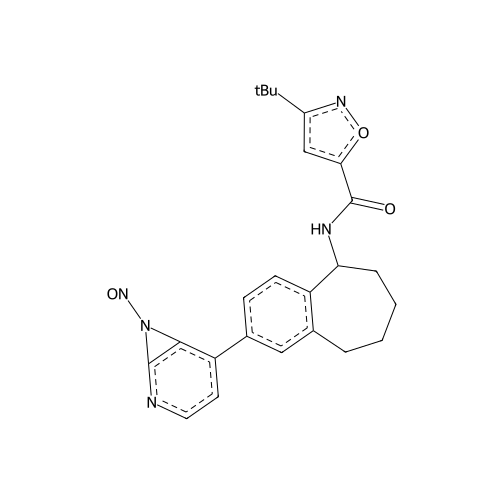 CC(C)(C)c1cc(C(=O)NC2CCCCc3cc(-c4ccnc5c4N5N=O)ccc32)on1